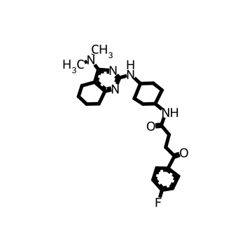 CN(C)c1nc(NC2CCC(NC(=O)CCC(=O)c3ccc(F)cc3)CC2)nc2c1CCCC2